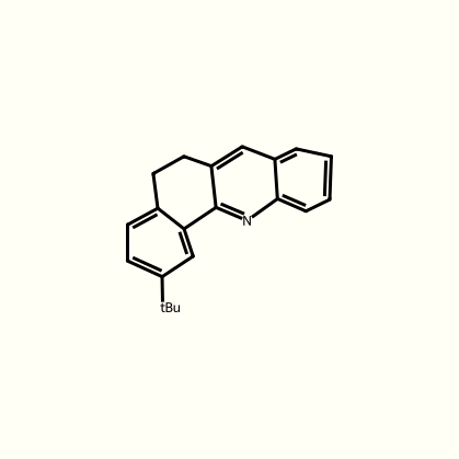 CC(C)(C)c1ccc2c(c1)-c1nc3ccccc3cc1CC2